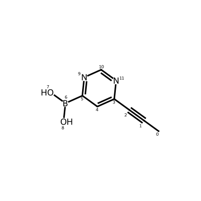 CC#Cc1cc(B(O)O)ncn1